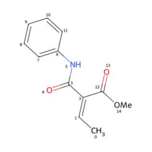 CC=C(C(=O)Nc1ccccc1)C(=O)OC